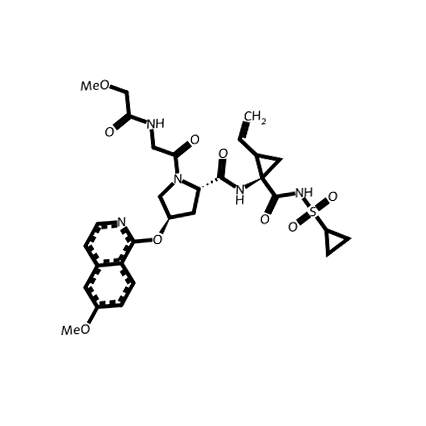 C=CC1C[C@]1(NC(=O)[C@@H]1C[C@@H](Oc2nccc3cc(OC)ccc23)CN1C(=O)CNC(=O)COC)C(=O)NS(=O)(=O)C1CC1